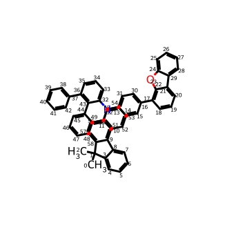 CC1(C)c2ccccc2-c2cc(N(c3ccc(-c4cccc5c4oc4ccccc45)cc3)c3cccc(-c4ccccc4)c3-c3ccccc3-c3ccccc3)ccc21